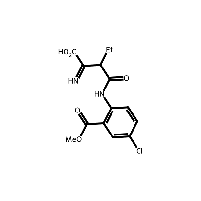 CCC(C(=N)C(=O)O)C(=O)Nc1ccc(Cl)cc1C(=O)OC